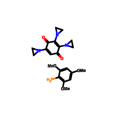 COc1cc(OC)c(P)c(OC)c1.O=C1C=C(N2CC2)C(=O)C(N2CC2)=C1N1CC1